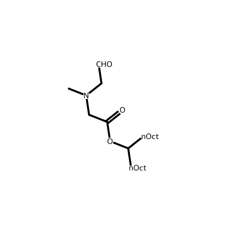 CCCCCCCCC(CCCCCCCC)OC(=O)CN(C)CC=O